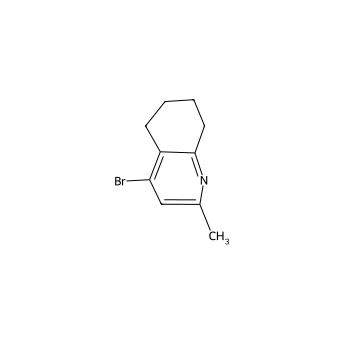 Cc1cc(Br)c2c(n1)CCCC2